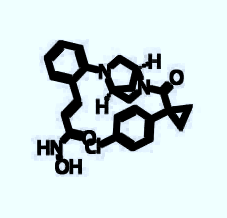 O=C(C=Cc1ccccc1N1C[C@@H]2C[C@H]1CN2C(=O)C1(c2ccc(Cl)cc2)CC1)NO